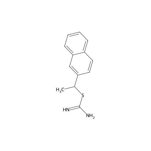 CC(SC(=N)N)c1ccc2ccccc2c1